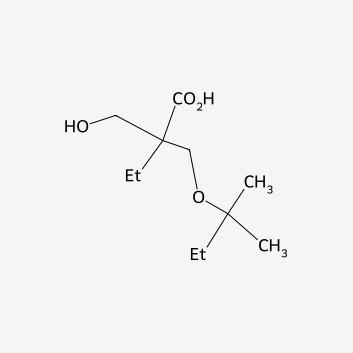 CCC(C)(C)OCC(CC)(CO)C(=O)O